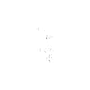 COc1cc(/C=C/C(=O)N[C@H]2CC[C@H](C)CC2)ccc1OCCn1cnc2ccccc21